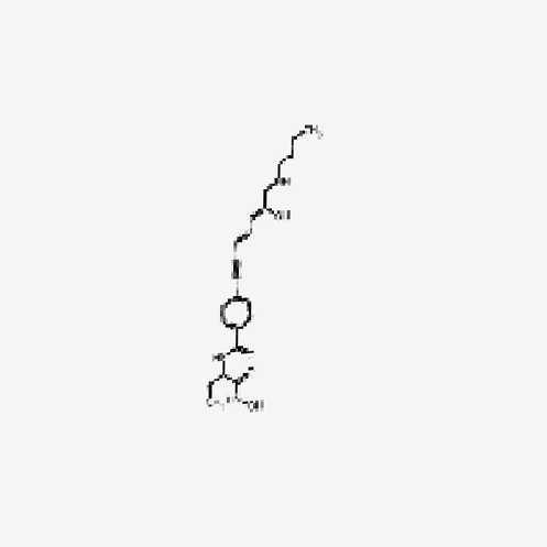 CCCCNC/C(O)=C/C=C/C#Cc1ccc(C(=O)NC(CC)C(=O)NO)cc1